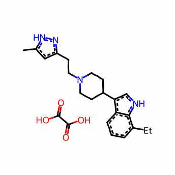 CCc1cccc2c(C3CCN(CCc4cc(C)[nH]n4)CC3)c[nH]c12.O=C(O)C(=O)O